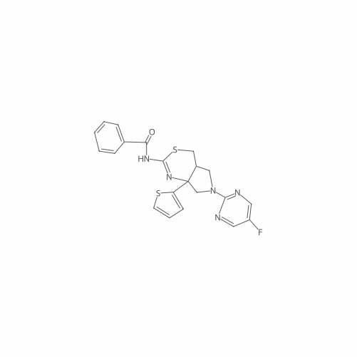 O=C(NC1=NC2(c3cccs3)CN(c3ncc(F)cn3)CC2CS1)c1ccccc1